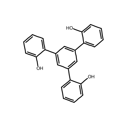 Oc1ccccc1-c1cc(-c2ccccc2O)cc(-c2ccccc2O)c1